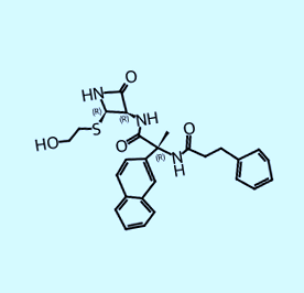 C[C@](NC(=O)CCc1ccccc1)(C(=O)N[C@@H]1C(=O)N[C@@H]1SCCO)c1ccc2ccccc2c1